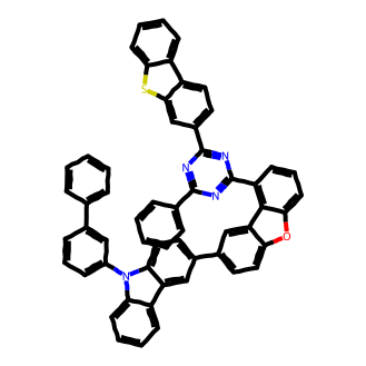 c1ccc(-c2cccc(-n3c4ccccc4c4cc(-c5ccc6oc7cccc(-c8nc(-c9ccccc9)nc(-c9ccc%10c(c9)sc9ccccc9%10)n8)c7c6c5)ccc43)c2)cc1